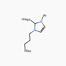 CCCCCCCCCCCCCN1C=CN(C(C)C)C1CCCCCCC